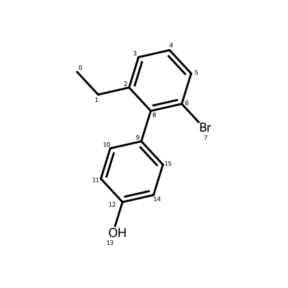 CCc1cccc(Br)c1-c1ccc(O)cc1